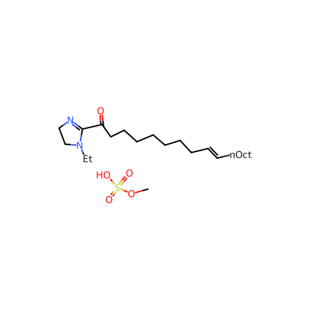 CCCCCCCCC=CCCCCCCCC(=O)C1=NCCN1CC.COS(=O)(=O)O